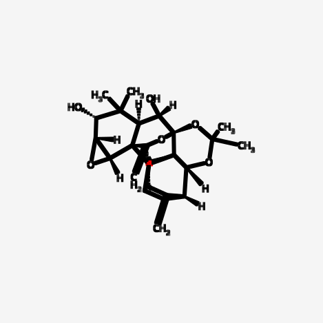 C=C1CC(=O)[C@@]23[C@@H]4OC(C)(C)O[C@]25OC(=C)[C@]2([C@@H]6O[C@@H]6[C@H](O)C(C)(C)[C@H]2[C@@H]5O)[C@@H]3CC[C@@H]14